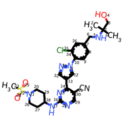 CC(C)(CO)NCc1ccc(-n2cc(-c3nc(NC4CCN(S(C)(=O)=O)CC4)ncc3C#N)cn2)c(Cl)c1